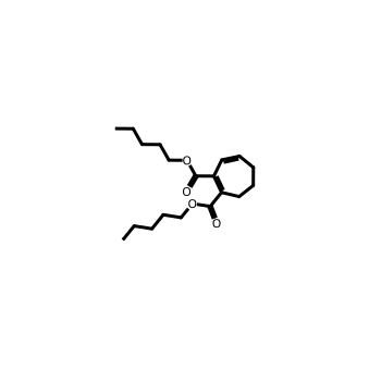 CCCCCOC(=O)C1=C(C(=O)OCCCCC)CCCC=C1